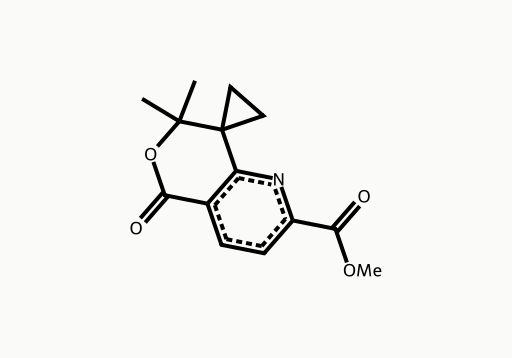 COC(=O)c1ccc2c(n1)C1(CC1)C(C)(C)OC2=O